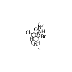 CCCN1CCC[C@@H]2c3cc(Cl)cc4c3c(c(Br)n4NC(=O)N(CC)CC)C[C@H]21